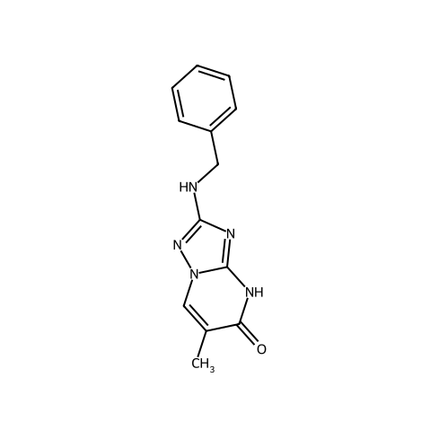 Cc1cn2nc(NCc3ccccc3)nc2[nH]c1=O